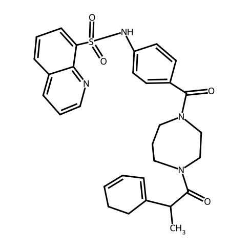 CC(C(=O)N1CCCN(C(=O)c2ccc(NS(=O)(=O)c3cccc4cccnc34)cc2)CC1)C1=CC=CCC1